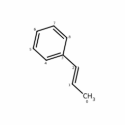 CC=[C]c1ccccc1